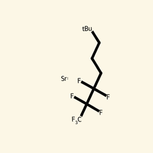 CC(C)(C)CCCC(F)(F)C(F)(F)C(F)(F)F.[Sr]